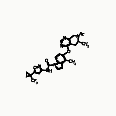 CC(=O)N1Cc2ncnc(Oc3ccc4c(ccn4C(=O)Nc4cc(C5(C(F)(F)F)CC5)on4)c3C)c2C[C@@H]1C